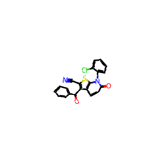 N#Cc1sc2c(ccc(=O)n2-c2ccccc2Cl)c1C(=O)c1ccccc1